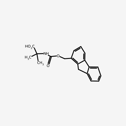 CC(C)(NC(=O)OCc1cccc2c1Cc1ccccc1-2)C(=O)O